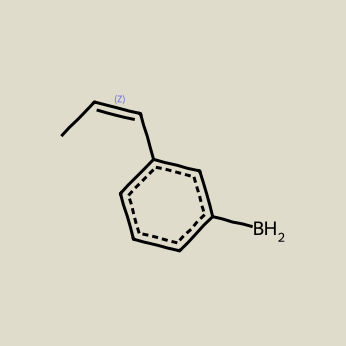 Bc1cccc(/C=C\C)c1